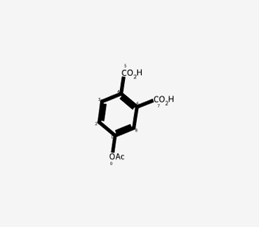 CC(=O)Oc1ccc(C(=O)O)c(C(=O)O)c1